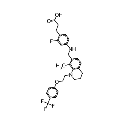 Cc1c(CNc2ccc(CCC(=O)O)c(F)c2)ccc2c1N(CCOc1ccc(C(F)(F)F)cc1)CCC2